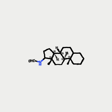 C[C@]12CCCCC1CC[C@@H]1[C@@H]2CC[C@]2(C)C(NC=O)CC[C@@H]12